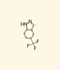 FC(F)(F)c1ccc2[nH]n[c]c2c1